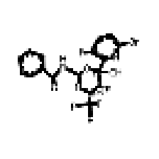 C[C@]1(c2nc(Br)ccc2F)OC(NC(=O)c2ccccc2)=N[C@H](C(F)(F)F)[C@H]1F